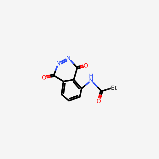 CCC(=O)Nc1cccc2c1C(=O)N=NC2=O